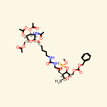 B[C@@H]1O[C@H](COC(=O)OCc2ccccc2)C(OP(O)(=S)OC)[C@@H]1CCCNC(=O)NCCCCCO[C@@H]1O[C@H](COC(C)=O)[C@H](OC(C)=O)[C@H](OC(C)=O)[C@H]1NC(C)=O